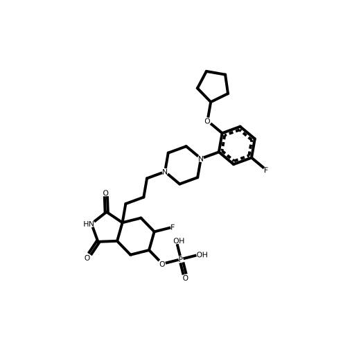 O=C1NC(=O)C2(CCCN3CCN(c4cc(F)ccc4OC4CCCC4)CC3)CC(F)C(OP(=O)(O)O)CC12